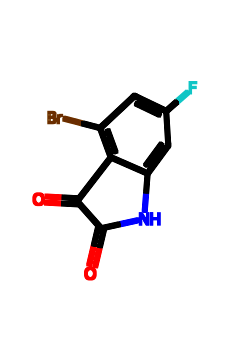 O=C1Nc2cc(F)cc(Br)c2C1=O